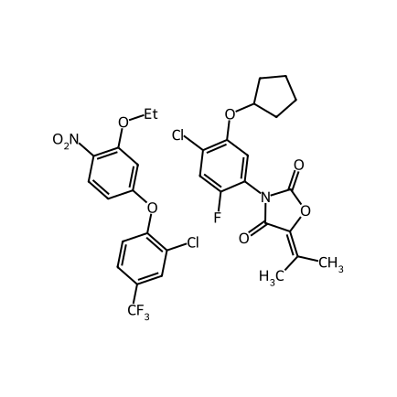 CC(C)=C1OC(=O)N(c2cc(OC3CCCC3)c(Cl)cc2F)C1=O.CCOc1cc(Oc2ccc(C(F)(F)F)cc2Cl)ccc1[N+](=O)[O-]